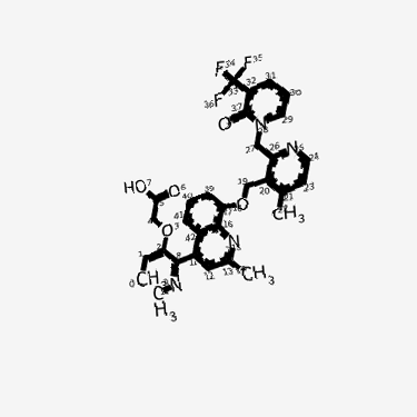 C/C=C(OCC(=O)O)\C(=N/C)c1cc(C)nc2c(OCc3c(C)ccnc3Cn3cccc(C(F)(F)F)c3=O)cccc12